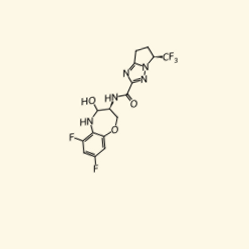 O=C(N[C@H]1COc2cc(F)cc(F)c2NC1O)c1nc2n(n1)[C@H](C(F)(F)F)CC2